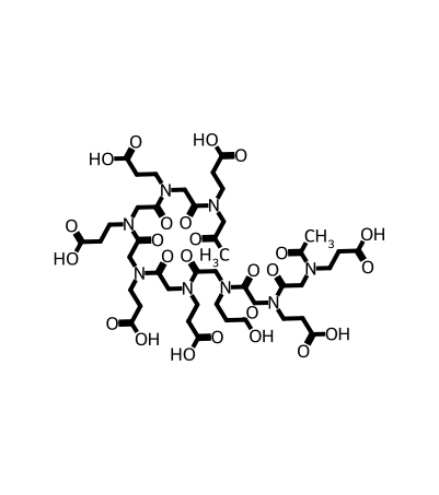 CC(=O)CN(CCC(=O)O)C(=O)CN(CCC(=O)O)C(=O)CN(CCC(=O)O)C(=O)CN(CCC(=O)O)C(=O)CN(CCC(=O)O)C(=O)CN(CCC(=O)O)C(=O)CN(CCC(=O)O)C(=O)CN(CCC(=O)O)C(C)=O